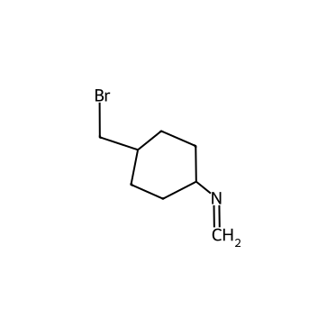 C=NC1CCC(CBr)CC1